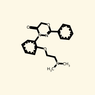 CN(C)CCOc1ccccc1N1N=C(c2ccccc2)OCC1=O